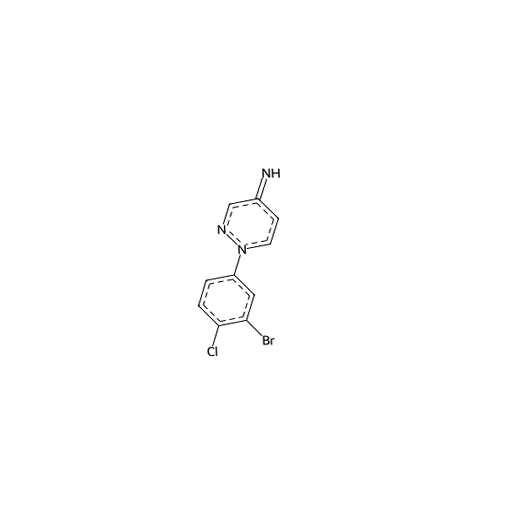 N=c1ccn(-c2ccc(Cl)c(Br)c2)nc1